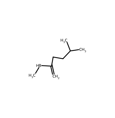 C=C(BC)CCC(C)C